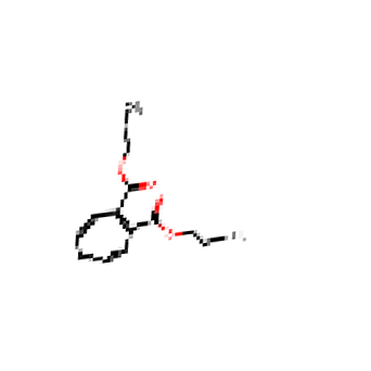 CCCOC(=O)C1=C(C(=O)OCCC)C=CCC=C1